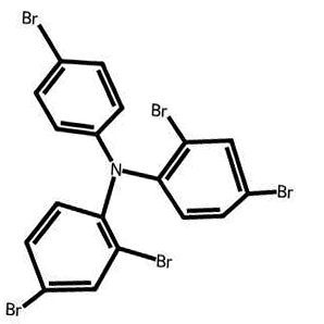 Brc1ccc(N(c2ccc(Br)cc2Br)c2ccc(Br)cc2Br)cc1